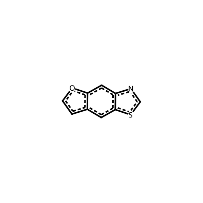 c1cc2cc3scnc3cc2o1